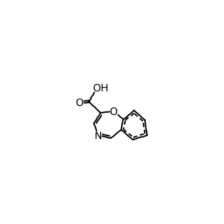 O=C(O)C1=CN=Cc2ccccc2O1